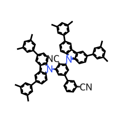 Cc1cc(C)cc(-c2ccc3c(c2)c2cc(-c4cc(C)cc(C)c4)ccc2n3-c2cc(-c3cccc(C#N)c3)cc(-n3c4ccc(-c5cc(C)cc(C)c5)cc4c4cc(-c5cc(C)cc(C)c5)ccc43)c2C#N)c1